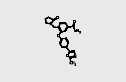 Cc1ncc(-c2ccc(Oc3cc(C(N)=O)ccc3CN3CCCC3=O)cc2)o1